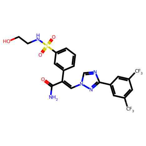 NC(=O)/C(=C/n1cnc(-c2cc(C(F)(F)F)cc(C(F)(F)F)c2)n1)c1cccc(S(=O)(=O)NCCO)c1